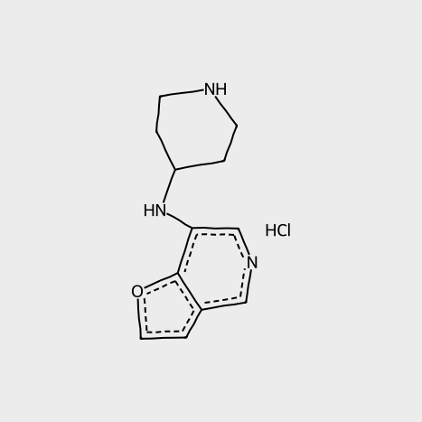 Cl.c1cc2cncc(NC3CCNCC3)c2o1